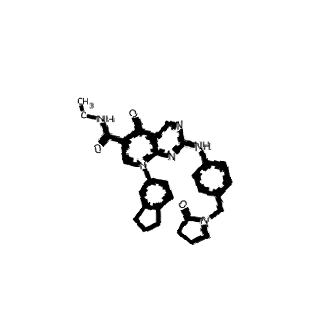 CONC(=O)c1cn(-c2ccc3c(c2)CCC3)c2nc(Nc3ccc(CN4CCCC4=O)cc3)ncc2c1=O